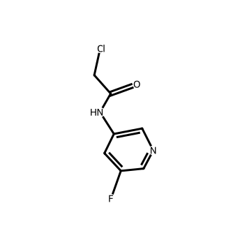 O=C(CCl)Nc1cncc(F)c1